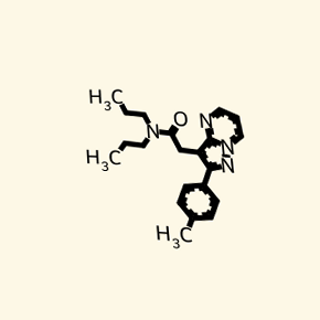 CCCN(CCC)C(=O)Cc1c(-c2ccc(C)cc2)nn2cccnc12